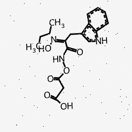 CCCC.O=C(O)CC(=O)ONC(=O)/C(Cc1c[nH]c2ccccc12)=N\O